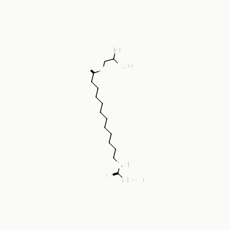 CCCCCC(=O)NCCCCCCCCCCCC(=O)OCC(CC)CCCC